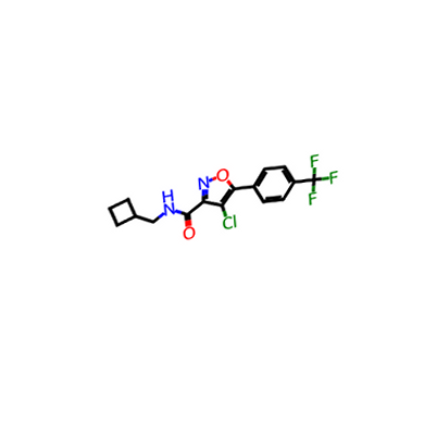 O=C(NCC1CCC1)c1noc(-c2ccc(C(F)(F)F)cc2)c1Cl